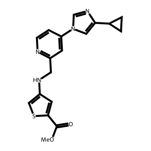 COC(=O)c1cc(NCc2cc(-n3cnc(C4CC4)c3)ccn2)cs1